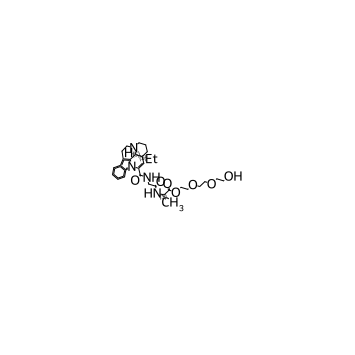 CC[C@@]12C=C(C(=O)NCC(=O)N[C@@H](C)C(=O)OCCOCCOCCO)n3c4c(c5ccccc53)CCN(CCC1)[C@H]42